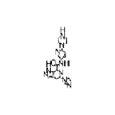 O=C(Nc1ccc(N2CCNCC2)nc1)c1nc(-n2ccnc2)cc2cn[nH]c12